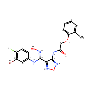 Cc1ccccc1OCC(=O)Nc1nonc1C(=NO)Nc1ccc(F)c(Br)c1